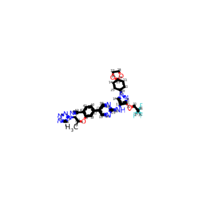 C[C@@H](Cn1cnnn1)Oc1cc(-c2cnc(Nc3cn(C4CCC5(CC4)OCCO5)nc3OCC(F)(F)F)nc2)ccc1C#N